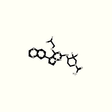 CC(=O)N1CCC(Nc2nc(OCC(F)F)c3c(-c4ccc5nccnc5c4)ccn3n2)C(F)(F)C1